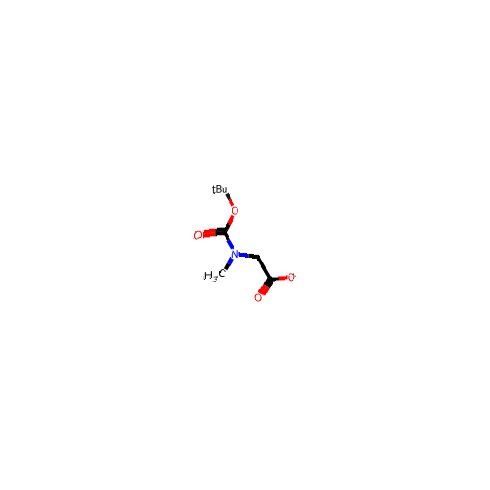 CN(CC([O])=O)C(=O)OC(C)(C)C